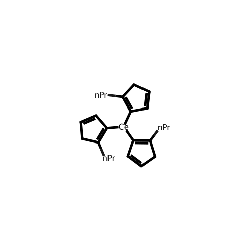 CCCC1=[C]([Ce]([C]2=C(CCC)CC=C2)[C]2=C(CCC)CC=C2)C=CC1